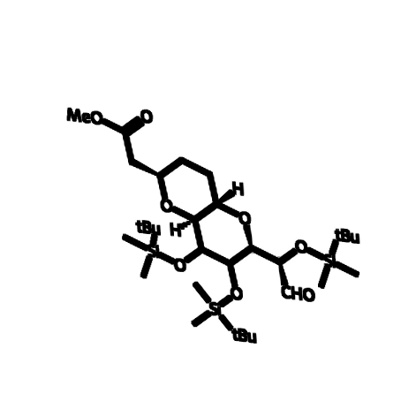 COC(=O)C[C@H]1CC[C@@H]2O[C@@H]([C@H](C=O)O[Si](C)(C)C(C)(C)C)C(O[Si](C)(C)C(C)(C)C)C(O[Si](C)(C)C(C)(C)C)[C@H]2O1